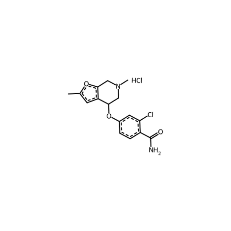 Cc1cc2c(o1)CN(C)CC2Oc1ccc(C(N)=O)c(Cl)c1.Cl